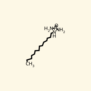 CCCCCCCCCCCCCCNP(N)(N)=O